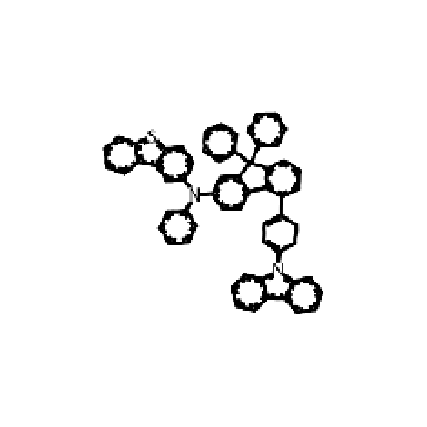 C1=C(c2cccc3c2-c2ccc(N(c4ccccc4)c4ccc5sc6ccccc6c5c4)cc2C3(c2ccccc2)c2ccccc2)CCC(n2c3ccccc3c3ccccc32)=C1